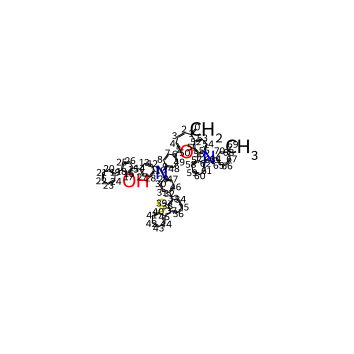 C=C1/C=C\C=C(\c2ccc(N(c3ccc(C4=C(O)C(c5ccccc5)=C=C4)cc3)c3ccc(-c4cccc5c4sc4ccccc45)cc3)cc2)Oc2c1ccc1c2c2ccccc2n1C1=CC=CC(C)C1